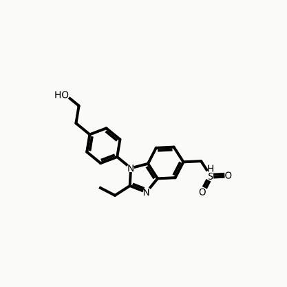 CCc1nc2cc(C[SH](=O)=O)ccc2n1-c1ccc(CCO)cc1